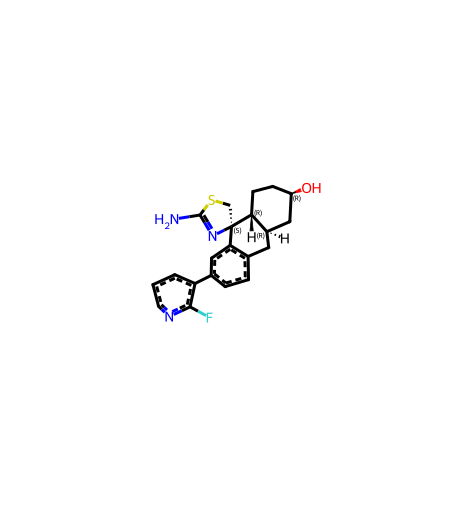 NC1=N[C@]2(CS1)c1cc(-c3cccnc3F)ccc1C[C@@H]1C[C@H](O)CC[C@H]12